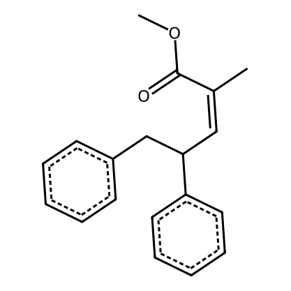 COC(=O)C(C)=CC(Cc1ccccc1)c1ccccc1